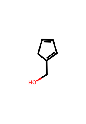 OCC1=CC=CC1